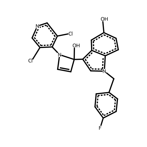 Oc1ccc2c(c1)c(C1(O)C=CN1c1c(Cl)cncc1Cl)cn2Cc1ccc(F)cc1